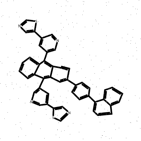 c1ccc2c(-c3ccc(-c4ccc5c(-c6cncc(-c7cncs7)c6)c6ccccc6c(-c6cncc(-c7cncs7)c6)c5c4)cc3)cccc2c1